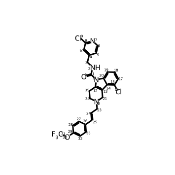 O=C(NCc1ccnc(Cl)c1)n1c2c(c3c(Cl)cccc31)CN(CC=Cc1ccc(OC(F)(F)F)cc1)CC2